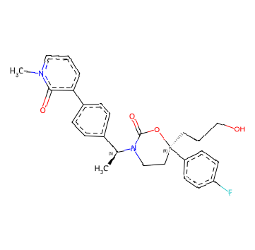 C[C@@H](c1ccc(-c2cccn(C)c2=O)cc1)N1CC[C@](CCCO)(c2ccc(F)cc2)OC1=O